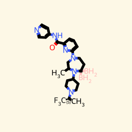 BC1(B)CCN(c2cccc(C(=O)Nc3ccncc3)n2)CC(C)N1C1CCN([C@@H](C)C(F)(F)F)CC1